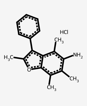 Cc1oc2c(C)c(C)c(N)c(C)c2c1-c1ccccc1.Cl